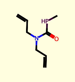 C=CCN(CC=C)C(=O)PC